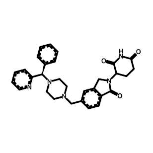 O=C1CCC(N2Cc3cc(CN4CCN([C@H](c5ccccc5)c5ccccn5)CC4)ccc3C2=O)C(=O)N1